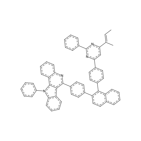 C/C=C(\C)c1cc(-c2ccc(-c3c(-c4ccc(-c5nc6ccccc6c6c5c5ccccc5n6-c5ccccc5)cc4)ccc4ccccc34)cc2)nc(-c2ccccc2)n1